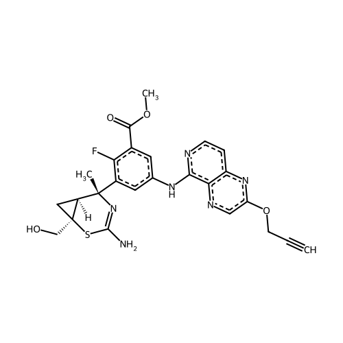 C#CCOc1cnc2c(Nc3cc(C(=O)OC)c(F)c([C@]4(C)N=C(N)S[C@@]5(CO)C[C@H]54)c3)nccc2n1